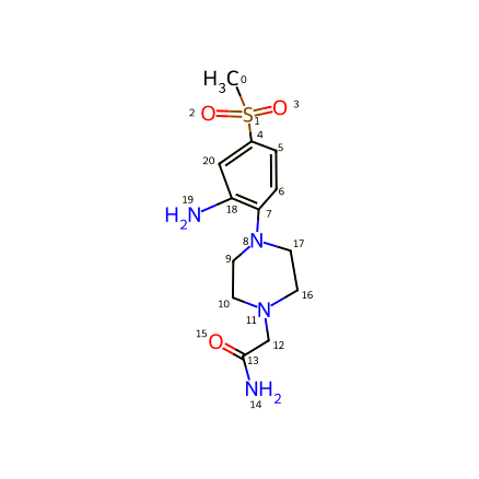 CS(=O)(=O)c1ccc(N2CCN(CC(N)=O)CC2)c(N)c1